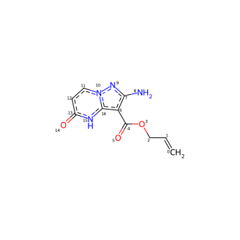 C=CCOC(=O)c1c(N)nn2ccc(=O)[nH]c12